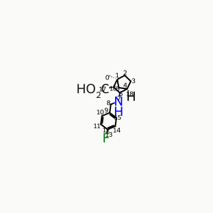 C[C@]12CC[C@H](C1)[C@@H](NCc1ccc(F)cc1)[C@H]2C(=O)O